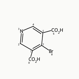 O=C(O)c1cncc(C(=O)O)c1Br